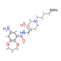 CNCCCCN1CC[C@@H](CNC(=O)c2cc(N)cc3c2OCCCO3)C(O)C1